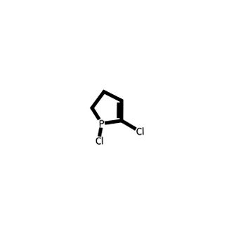 ClC1=CCCP1Cl